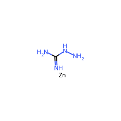 N=C(N)NN.[Zn]